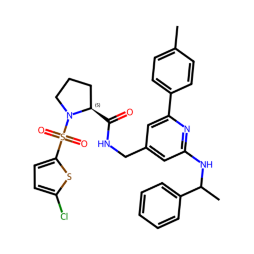 Cc1ccc(-c2cc(CNC(=O)[C@@H]3CCCN3S(=O)(=O)c3ccc(Cl)s3)cc(NC(C)c3ccccc3)n2)cc1